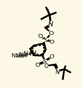 CC(C)(C)N=COS(=O)(=O)c1cccc(S(=O)(=O)OC=NC(C)(C)C)c1.[NaH].[NaH].[NaH].[NaH]